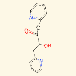 O=C(Cc1ccccn1)C(O)Cc1ccccn1